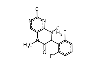 CN1C(=O)C(c2c(F)cccc2F)N(C)c2nc(Cl)ncc21